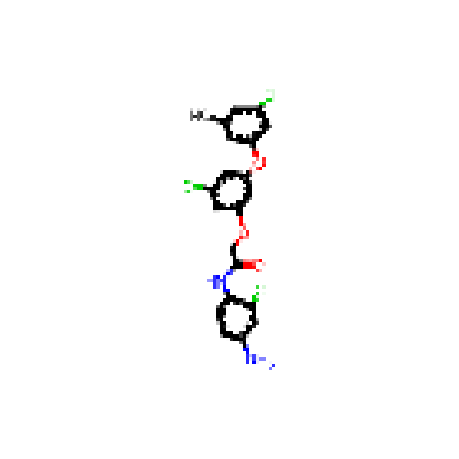 N#Cc1cc(Cl)cc(Oc2cc(Cl)cc(OCC(=O)Nc3ccc(N)cc3Cl)c2)c1